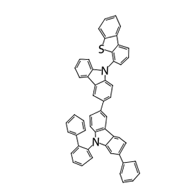 c1ccc(-c2ccc3c4cc(-c5ccc6c(c5)c5ccccc5n6-c5cccc6c5sc5ccccc56)ccc4n(-c4ccccc4-c4ccccc4)c3c2)cc1